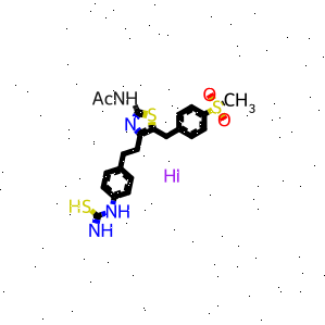 CC(=O)Nc1nc(CCc2ccc(NC(=N)S)cc2)c(Cc2ccc(S(C)(=O)=O)cc2)s1.I